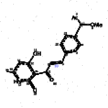 CON(C(C)=O)c1ccc(/C=C/C(=O)c2c(O)cc(C)[nH]c2=O)cc1